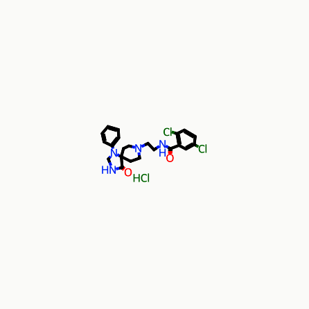 Cl.O=C(NCCN1CCC2(CC1)C(=O)NCN2c1ccccc1)c1cc(Cl)ccc1Cl